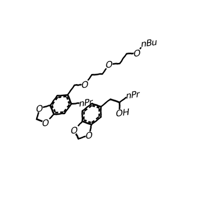 CCCC(O)Cc1ccc2c(c1)OCO2.CCCCOCCOCCOCc1cc2c(cc1CCC)OCO2